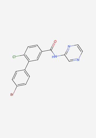 O=C(Nc1cnccn1)c1ccc(Cl)c(-c2ccc(Br)cc2)c1